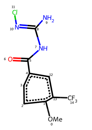 COc1ccc(C(=O)NC(N)=NCl)cc1C(F)(F)F